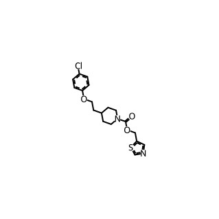 O=C(OCc1cncs1)N1CCC(CCOc2ccc(Cl)cc2)CC1